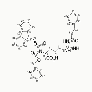 N=C(NCCC[C@H](C(=O)O)N(C(=O)OCc1ccccc1)C(=O)OCC1c2ccccc2-c2ccccc21)NC(=O)OCc1ccccc1